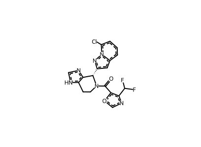 O=C(c1ocnc1C(F)F)N1CCc2[nH]cnc2[C@@H]1c1cc2cccc(Cl)n2n1